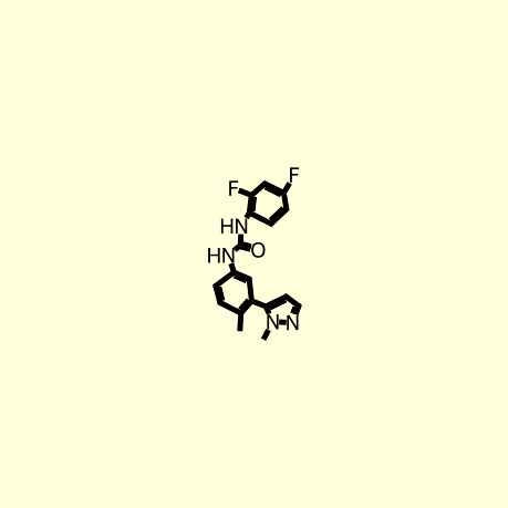 Cc1ccc(NC(=O)Nc2ccc(F)cc2F)cc1-c1ccnn1C